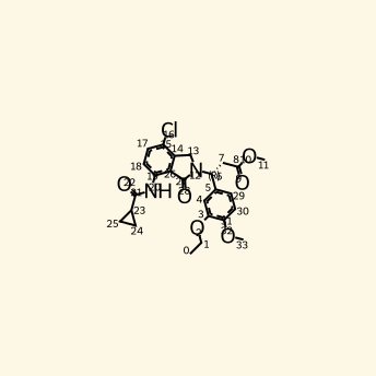 CCOc1cc([C@@H](CC(=O)OC)N2Cc3c(Cl)ccc(NC(=O)C4CC4)c3C2=O)ccc1OC